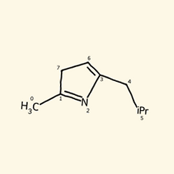 CC1=NC(CC(C)C)=CC1